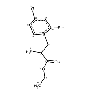 CCOC(=O)C(N)Cc1ccc(Cl)cc1F